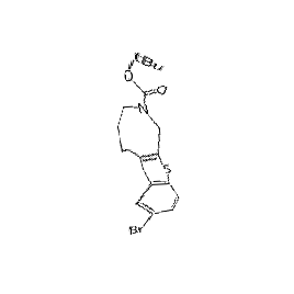 CC(C)(C)OC(=O)N1CCCc2c(sc3ccc(Br)cc23)C1